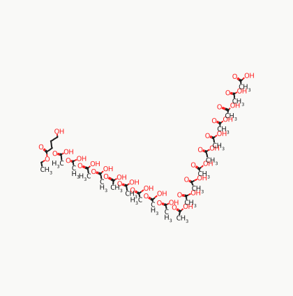 CC(=O)O.CC(=O)O.CC(=O)O.CC(=O)O.CC(=O)O.CC(=O)O.CC(=O)O.CC(=O)O.CC(=O)O.CC(=O)O.CC(=O)O.CC(=O)O.CC(=O)O.CC(=O)O.CC(=O)O.CC(=O)O.CC(=O)O.CC(=O)O.CC(=O)O.CCOC(=O)CCCO